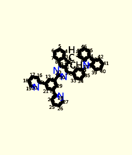 CC1(C)c2ccccc2-c2nc(-c3cc(-c4ccccn4)cc(-c4ccccn4)c3)nc(-c3cccc(-n4c5ccccc5c5ccccc54)c3)c21